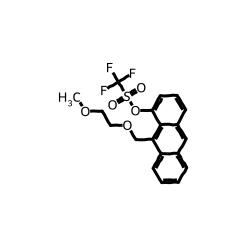 COCCOCc1c2ccccc2cc2cccc(OS(=O)(=O)C(F)(F)F)c12